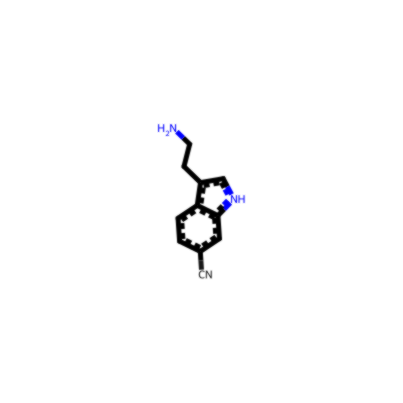 N#Cc1ccc2c(CCN)c[nH]c2c1